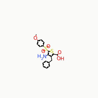 COc1ccc(S(=O)(=O)c2sc(C(=O)O)c(Cc3ccccc3)c2N)cc1